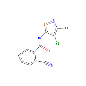 N#Cc1ccccc1C(=O)Nc1snc(Cl)c1Cl